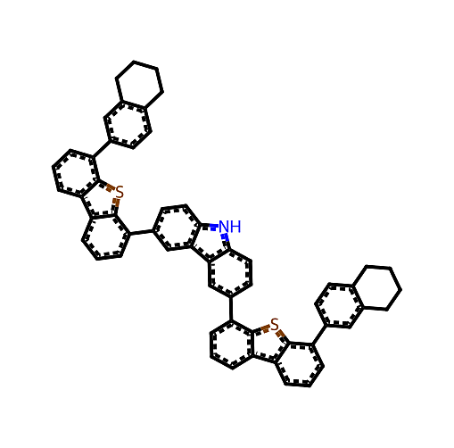 c1cc(-c2ccc3c(c2)CCCC3)c2sc3c(-c4ccc5[nH]c6ccc(-c7cccc8c7sc7c(-c9ccc%10c(c9)CCCC%10)cccc78)cc6c5c4)cccc3c2c1